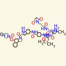 C=C(N)C[C@H](NC(=O)CNC(=O)CCCN1C(=O)C=CC1=O)C(=O)N[C@@H](CC(C)C)C(=O)Nc1ccc(C(=O)Nc2ccc3[nH]c(C(=O)N4CCc5c4cc(OC(=O)N4CCN(C)CC4)c4ccccc54)cc3c2)cc1